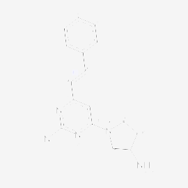 Nc1nc(/C=C/c2ccccc2)cc(N2CCC(N)C2)n1